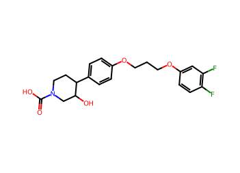 O=C(O)N1CCC(c2ccc(OCCCOc3ccc(F)c(F)c3)cc2)C(O)C1